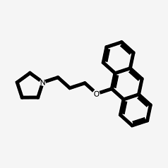 c1ccc2c(OCCCN3CCCC3)c3ccccc3cc2c1